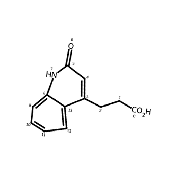 O=C(O)CCc1cc(=O)[nH]c2ccccc12